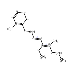 CCC(/C=C/NCC1=C(C)C=CCC1)=C(/C)CNC